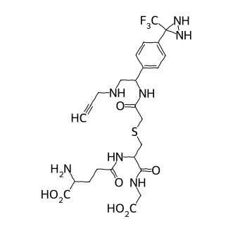 C#CCNCC(NC(=O)CSCC(NC(=O)CCC(N)C(=O)O)C(=O)NCC(=O)O)c1ccc(C2(C(F)(F)F)NN2)cc1